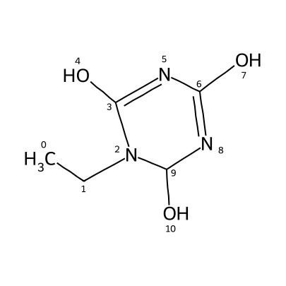 CCN1C(O)=NC(O)=NC1O